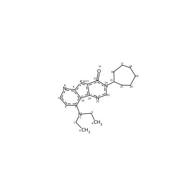 CCN(CC)c1ccnc2sc3c(=O)n(C4CCCCCC4)cnc3c12